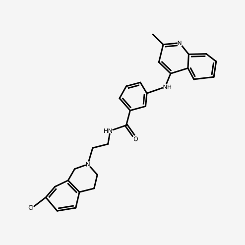 Cc1cc(Nc2cccc(C(=O)NCCN3CCc4ccc(Cl)cc4C3)c2)c2ccccc2n1